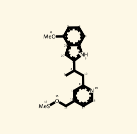 COc1cccc2[nH]c(C(C)Cc3cc(COSC)ccn3)cc12